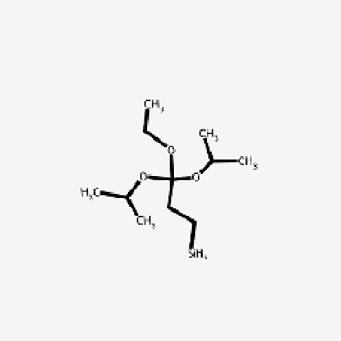 CCOC(CC[SiH3])(OC(C)C)OC(C)C